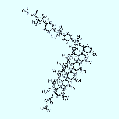 CN(C)c1cc[n+](C#N)cc1.CN(C)c1cc[n+](C#N)cc1.CN(C)c1cc[n+](C#N)cc1.CN(C)c1cc[n+](C#N)cc1.CN(C)c1cc[n+](C#N)cc1.CN(C)c1cc[n+](C#N)cc1.CN(C)c1cc[n+](C#N)cc1.CN(C)c1cc[n+](C#N)cc1.[O-]B([O-])F.[O-]B([O-])F.[O-]B([O-])F.[O-]B([O-])F